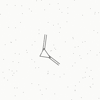 C=C1CC1=C